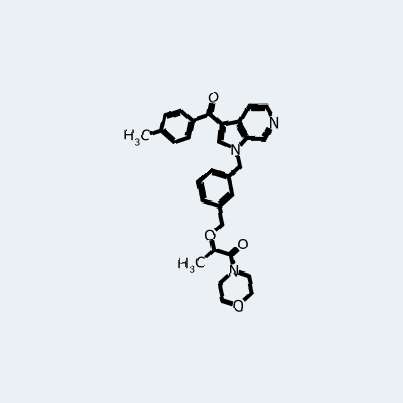 Cc1ccc(C(=O)c2cn(Cc3cccc(COC(C)C(=O)N4CCOCC4)c3)c3cnccc23)cc1